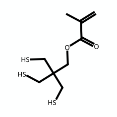 C=C(C)C(=O)OCC(CS)(CS)CS